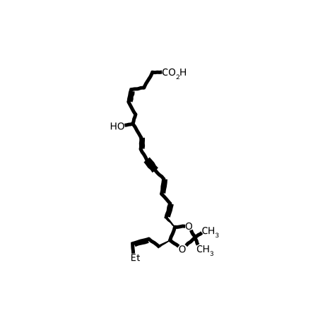 CC/C=C\C[C@@H]1OC(C)(C)O[C@@H]1/C=C/C=C/C#C/C=C/C(O)C/C=C\CCC(=O)O